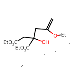 C=C(CC(O)(CC(=O)OCC)C(=O)OCC)OCC